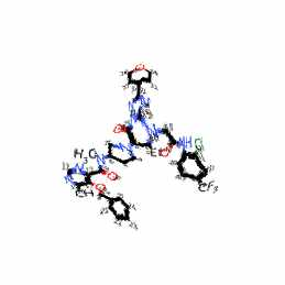 CCc1c(N2CCC(N(C)C(=O)c3ncnc(C)c3OCc3ccccc3)C2)c(=O)n2nc(C3=CCOCC3)nc2n1CC(=O)Nc1ccc(C(F)(F)F)cc1Cl